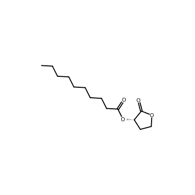 CCCCCCCCCC(=O)O[C@H]1CCOC1=O